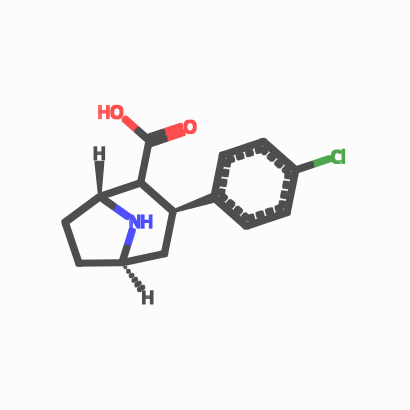 O=C(O)C1[C@@H](c2ccc(Cl)cc2)C[C@H]2CC[C@H]1N2